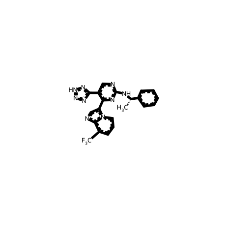 C[C@H](Nc1ncc(-c2nn[nH]n2)c(-c2cnc3c(C(F)(F)F)cccn23)n1)c1ccccc1